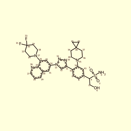 NS(=O)(=O)C(CO)c1ccc(-c2cn(-c3cc(N4CCC(F)(F)CC4)c4ncccc4c3)nn2)c(N2CCC3(CC2)CC3)c1